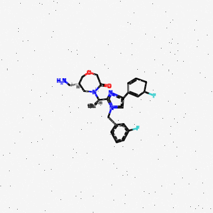 CC(C)(C)[C@H](c1nc(C2=CC(F)CC=C2)cn1Cc1cccc(F)c1)N1C[C@H](CN)COCC1=O